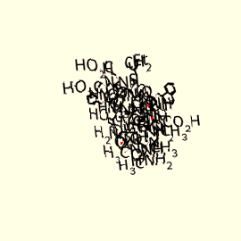 C=C/C(=C\CC)CSC[C@@H](NC(=O)[C@@H](C)NC(=O)[C@H](Cc1cccc2ccccc12)NC(=O)[C@H](CCC(=O)O)NC)C(=O)N[C@@H](CCC(=O)O)C(=O)N[C@@H](CC(=O)O)C(=O)N[C@@H](Cc1ccccc1)C(=O)N[C@@H](CC1CC[C@@H]1O)C(=O)N[C@@H](CC(=O)O)C(=O)N[C@H](C(=O)N[C@@H](CN(C)CCN(C)C[C@H](NC(=O)[C@H](C)N)C(=O)N[C@H](C)C(=O)N[C@H](C=O)CC(N)=O)C(N)=O)C(C)(C)C